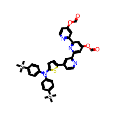 C[Si](C)(C)c1ccc(N(c2ccc([Si](C)(C)C)cc2)c2ccc(-c3ccnc(-c4cc(OC=O)cc(-c5cc(OC=O)ccn5)n4)c3)s2)cc1